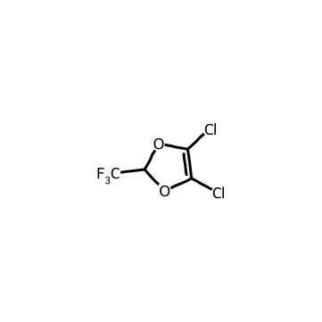 FC(F)(F)C1OC(Cl)=C(Cl)O1